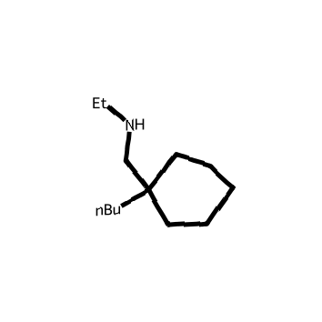 CCCCC1(CNCC)CCCCC1